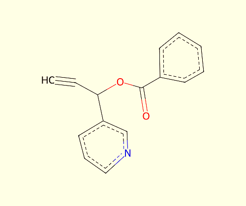 C#CC(OC(=O)c1ccccc1)c1cccnc1